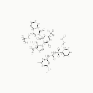 COc1nc(C)nc(NC(=O)NS(=O)(=O)c2ccccc2OCCCl)n1.Nc1c([N+](=O)[O-])cnn1-c1c(Cl)cc(C(F)(F)F)cc1Cl.O=C(O)COc1ccc(Cl)c2cccnc12